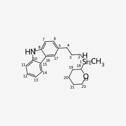 C[SiH](CCCc1ccc2[nH]c3ccccc3c2c1)C1CCCCO1